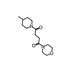 CC1CCN(C(=O)CCC(=O)N2CCOCC2)CC1